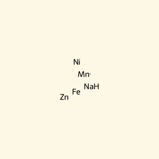 [Fe].[Mn].[NaH].[Ni].[Zn]